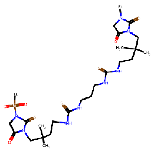 CCN1CC(=O)N(CC(C)(C)CCNC(=S)NCCCNC(=S)NCCC(C)(C)CN2C(=O)CN(S(=O)(=O)CC)C2=S)C1=S